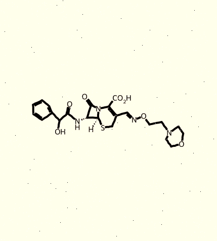 O=C(O)C1=C(C=NOCCN2CCOCC2)CS[C@H]2[C@H](NC(=O)C(O)c3ccccc3)C(=O)N12